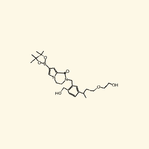 CC(CCOCCO)c1ccc(CO)c(CN2CCn3cc(B4OC(C)(C)C(C)(C)O4)cc3C2=O)c1